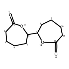 O=C1CCCCC(C2CCCCC(=O)O2)O1